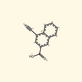 N#Cc1cc(C(=O)O)cc2ccccc12